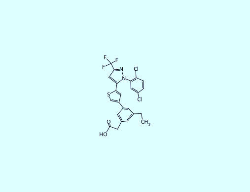 CCc1cc(CC(=O)O)cc(-c2csc(-c3cc(C(F)(F)F)nn3-c3cc(Cl)ccc3Cl)c2)c1